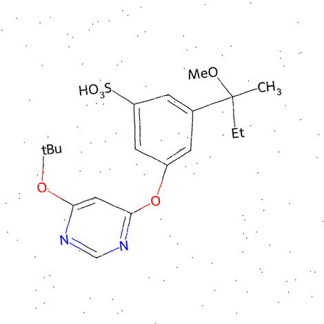 CCC(C)(OC)c1cc(Oc2cc(OC(C)(C)C)ncn2)cc(S(=O)(=O)O)c1